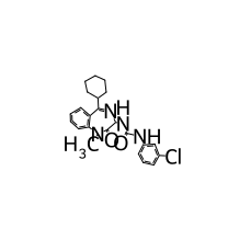 CN1C(=O)C(NC(=O)Nc2cccc(Cl)c2)N=C(C2CCCCC2)c2ccccc21